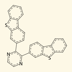 c1ccc2c(c1)sc1cc(-c3nccnc3-c3ccc4c(c3)sc3ccccc34)ccc12